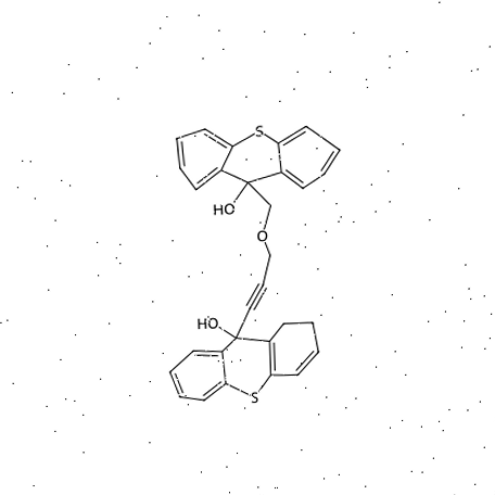 OC1(C#CCOCC2(O)c3ccccc3Sc3ccccc32)C2=C(C=CCC2)Sc2ccccc21